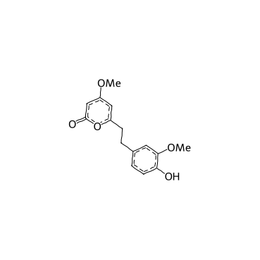 COc1cc(CCc2ccc(O)c(OC)c2)oc(=O)c1